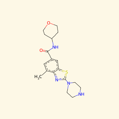 Cc1cc(C(=O)NC2CCOCC2)cc2sc(N3CCNCC3)nc12